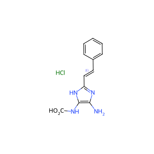 Cl.Nc1nc(/C=C/c2ccccc2)[nH]c1NC(=O)O